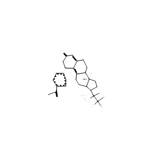 CC(=O)c1ccc([C@@H]2CC(=O)C=C3CC[C@@H]4C(=C32)CC[C@@]2(C)[C@H]4CC[C@@]2(O)C(F)(F)C(F)(F)F)cc1